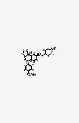 COc1ccc([C@@H]2CN3CCC[C@@H]3c3cc(OCC4CCN(C(C)C)CC4)ccc32)cc1